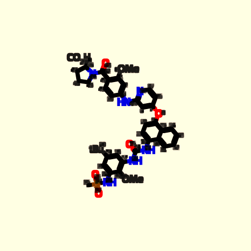 COc1cc(Nc2cc(Oc3ccc(NC(=O)Nc4cc(C(C)(C)C)cc(NS(C)(=O)=O)c4OC)c4ccccc34)ccn2)ccc1C(=O)N1CCC[C@H]1C(=O)O